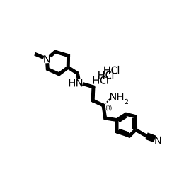 CN1CCC(CNCC[C@H](N)Cc2ccc(C#N)cc2)CC1.Cl.Cl.Cl